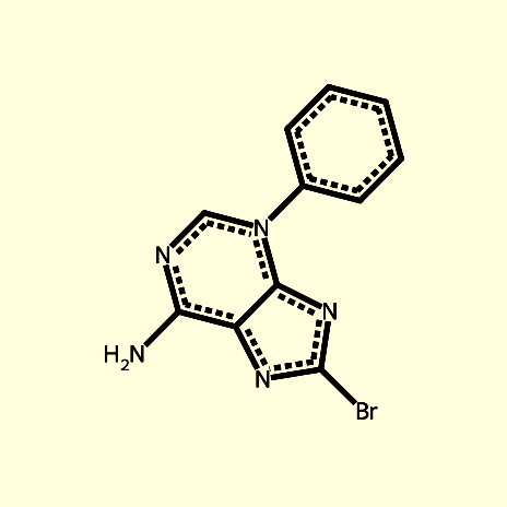 Nc1ncn(-c2ccccc2)c2nc(Br)nc1-2